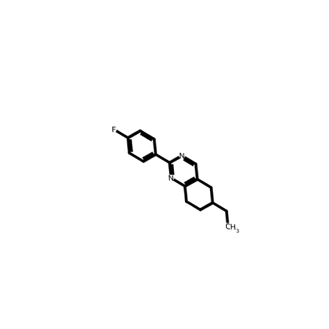 CCC1CCc2nc(-c3ccc(F)cc3)ncc2C1